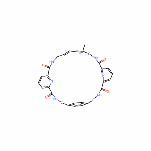 C/C1=C\C=C\CNC(=O)c2cccc(n2)C(=O)NCc2ccc(cc2)CNC(=O)c2cccc(n2)C(=O)NC1